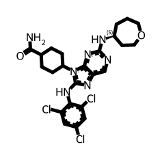 NC(=O)C1CCC(n2c(Nc3c(Cl)cc(Cl)cc3Cl)nc3cnc(N[C@H]4CCCOCC4)nc32)CC1